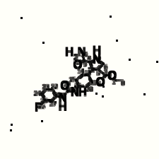 CCOC(=O)c1c[nH]c(C(N)=O)c1-c1ccc(NC(=O)Nc2cccc(F)c2)cc1